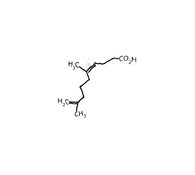 C=C(C)CCC/C(C)=C\CCC(=O)O